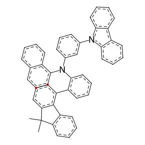 CC1(C)c2ccccc2-c2c(-c3ccccc3N(c3cccc(-n4c5ccccc5c5ccccc54)c3)c3cccc4ccccc34)cccc21